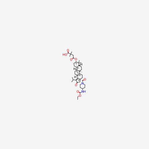 CCOC(=O)NC1CCN(C(=O)[C@@]23CC[C@]4(C)[C@H](CC[C@@H]5[C@@]6(C)CC[C@H](OC(=O)CC(C)(C)C(=O)O)C(C)(C)[C@@H]6CC[C@]54C)C2=C(C(C)C)C(=O)C3)CC1